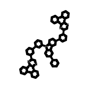 c1ccc(-c2ccc3c(c2)c2cc(-c4cccc(-c5cnc6c7ccccc7c7ccccc7c6n5)c4)ccc2n3-c2cccc(-c3cccc(-c4cnc5c6ccccc6c6ccccc6c5n4)c3)c2)cc1